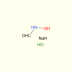 Cl.O=CNO.[NaH]